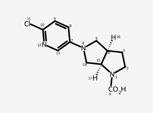 O=C(O)N1CC[C@@H]2CN(c3ccc(Cl)nc3)C[C@@H]21